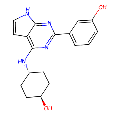 Oc1cccc(-c2nc(N[C@H]3CC[C@H](O)CC3)c3cc[nH]c3n2)c1